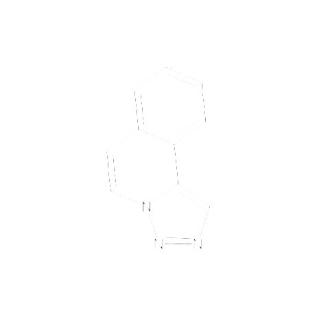 c1ccc2c(c1)ccn1nncc21